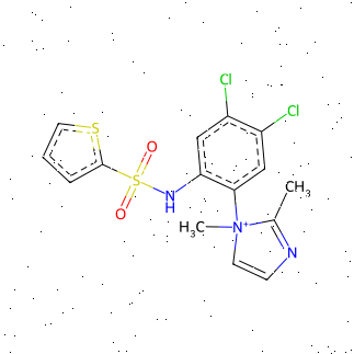 CC1=NC=C[N+]1(C)c1cc(Cl)c(Cl)cc1NS(=O)(=O)c1cccs1